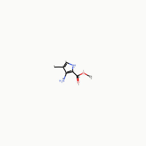 CCOC(=O)c1[nH]cc(C)c1N